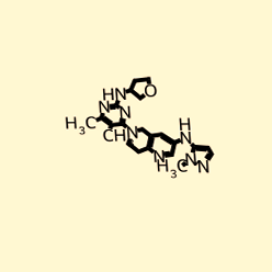 Cc1nc(NC2CCOC2)nc(N2CCc3ncc(Nc4ccnn4C)cc3C2)c1C